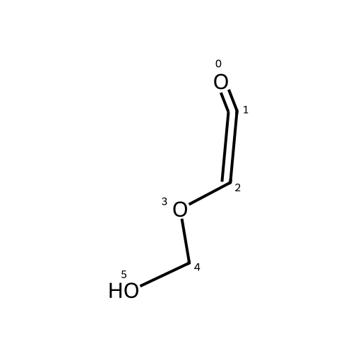 O=C=COCO